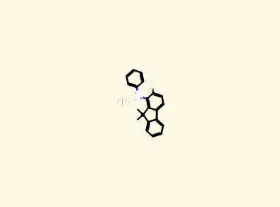 CCc1ccc2c(c1N(c1ccccc1)C(C)(C)C)C(C)(C)c1ccccc1-2